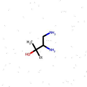 CCC(C)(O)C(N)CN